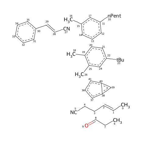 CC=CCCC#N.CCC=O.CCCCCc1cccc(C)c1.Cc1ccc(C(C)(C)C)cc1C.N#CC=Cc1ccccc1.c1cc2cc-2c1